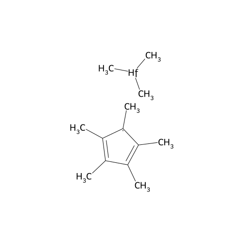 C[C]1C(C)=C(C)C(C)=C1C.[CH3][Hf]([CH3])[CH3]